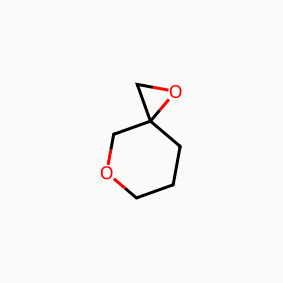 C1COCC2(C1)CO2